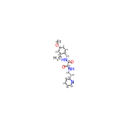 CCOc1ccc(CNC(=O)C(=O)NCCc2ccccn2)c(C)c1